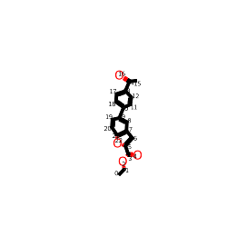 CCOC(=O)c1cc2cc(-c3ccc(C(C)=O)cc3)ccc2o1